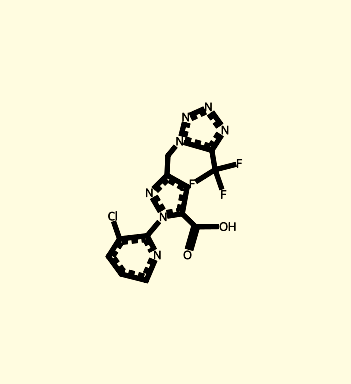 O=C(O)c1cc(Cn2nnnc2C(F)(F)F)nn1-c1ncccc1Cl